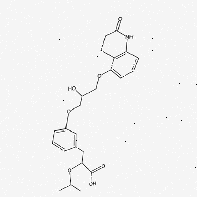 CC(C)OC(Cc1cccc(OCC(O)COc2cccc3c2CCC(=O)N3)c1)C(=O)O